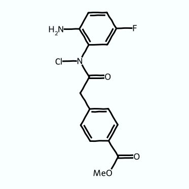 COC(=O)c1ccc(CC(=O)N(Cl)c2cc(F)ccc2N)cc1